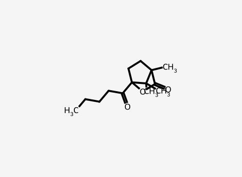 CCCCC(=O)C12CCC(C)(C(=O)O1)C2(C)C